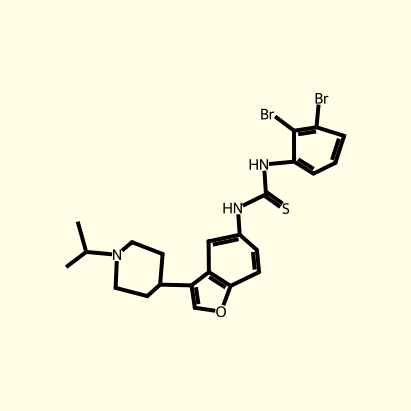 CC(C)N1CCC(c2coc3ccc(NC(=S)Nc4cccc(Br)c4Br)cc23)CC1